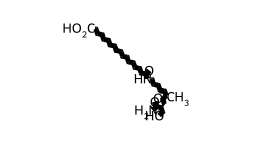 CC(C=CCCCNC(=O)CCCCCCCCCCCCCCCCC(=O)O)C(=O)C[C@@H](CO)C(N)=O